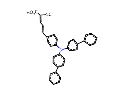 [C-]#[N+]/C(=C\C=C\c1ccc(N(c2ccc(-c3ccccc3)cc2)c2ccc(-c3ccccc3)cc2)cc1)C(=O)O